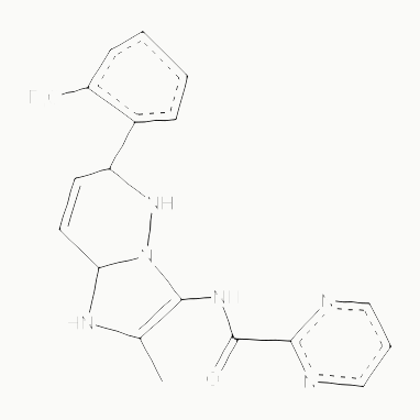 CC1=C(NC(=O)c2ncccn2)N2NC(c3ccccc3C(F)(F)F)C=CC2N1